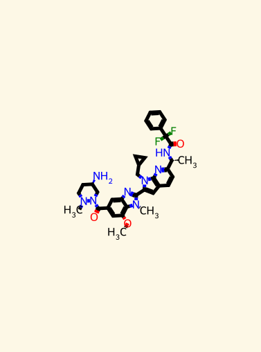 COc1cc(C(=O)N2C[C@H](N)CCN2C)cc2nc(-c3cc4ccc([C@@H](C)NC(=O)C(F)(F)c5ccccc5)nc4n3CC3CC3)n(C)c12